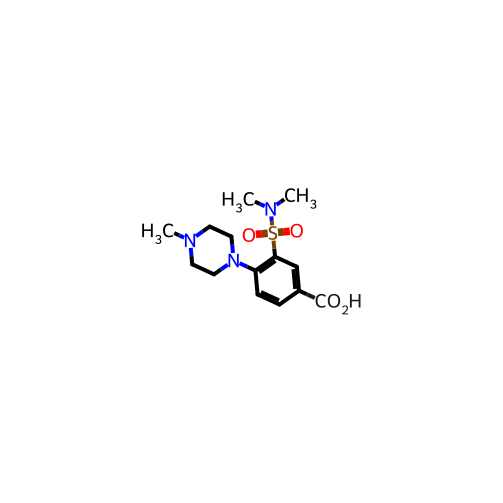 CN1CCN(c2ccc(C(=O)O)cc2S(=O)(=O)N(C)C)CC1